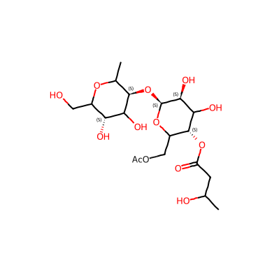 CC(=O)OCC1O[C@@H](O[C@@H]2C(C)OC(CO)[C@@H](O)C2O)[C@@H](O)C(O)[C@@H]1OC(=O)CC(C)O